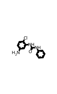 Nc1ccc(Cl)c(NC(=O)Nc2ccccc2)c1